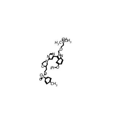 Cc1ccc(S(=O)(=O)OCCC2CN(c3cc(-c4c5cc(OC(C)C)ccc5nn4COCC[Si](C)(C)C)ncn3)CCO2)cc1